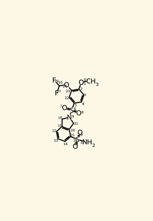 COc1ccc(S(=O)(=O)N2Cc3cccc(S(N)(=O)=O)c3C2)cc1OC(F)F